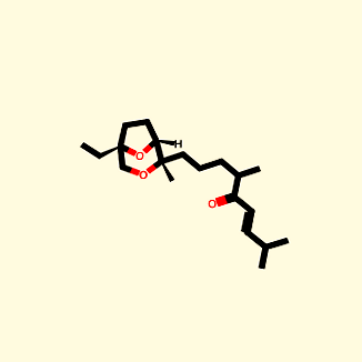 CC[C@@]12CC[C@@H](O1)[C@](C)(CCCC(C)C(=O)/C=C/C(C)C)OC2